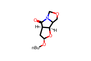 CCCCO[C@H]1C[C@H]2C(=O)N3COCC3[C@H]2O1